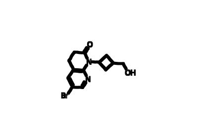 O=C1CCc2cc(Br)cnc2N1C1CC(CO)C1